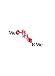 COCCCCCCCCCOC(=O)CCCCCCCP(CCCCCCCC(=O)OCCCCCCCCC(=O)OC)C(=O)CCCCN(C)C